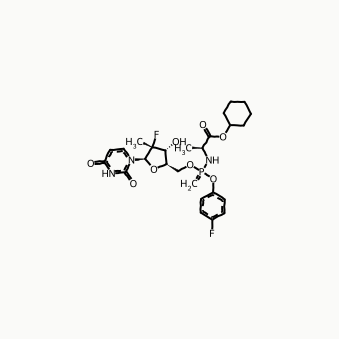 C=P(N[C@@H](C)C(=O)OC1CCCCC1)(OC[C@H]1O[C@@H](n2ccc(=O)[nH]c2=O)[C@](C)(F)[C@@H]1O)Oc1ccc(F)cc1